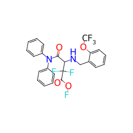 O=C(C(NCc1ccccc1OC(F)(F)F)C(F)(F)C(=O)OF)N(c1ccccc1)c1ccccc1